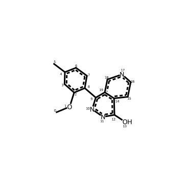 COc1cc(C)ccc1-c1nnc(O)c2ccncc12